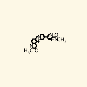 CNC(=O)c1ccc(C2=CCN(Cc3ccc4c(c3F)CC(=O)C(C)=N4)CC2)cn1